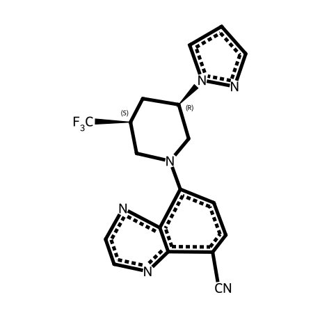 N#Cc1ccc(N2C[C@H](n3cccn3)C[C@H](C(F)(F)F)C2)c2nccnc12